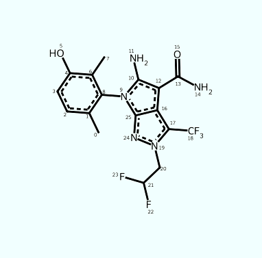 Cc1ccc(O)c(C)c1-n1c(N)c(C(N)=O)c2c(C(F)(F)F)n(CC(F)F)nc21